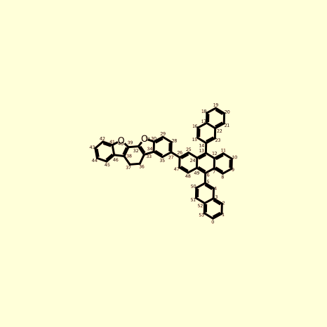 c1ccc2cc(-c3c4ccccc4c(-c4ccc5ccccc5c4)c4cc(-c5ccc6oc7c(c6c5)CCc5c-7oc6ccccc56)ccc34)ccc2c1